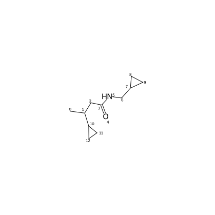 CC(CC(=O)NCC1CC1)C1CC1